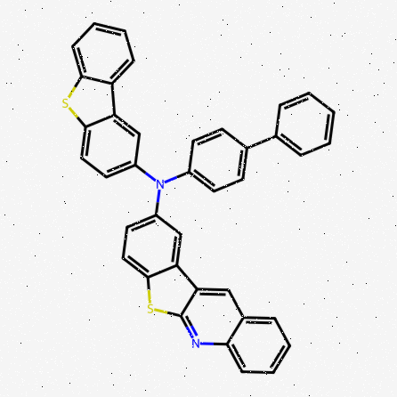 c1ccc(-c2ccc(N(c3ccc4sc5ccccc5c4c3)c3ccc4sc5nc6ccccc6cc5c4c3)cc2)cc1